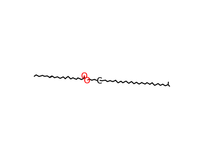 CCCCCCC=CCCCCCCCCCCCC(=O)OCCCCCCCCCCCCCCCCCCCCCCCCCCCCCCC(C)C